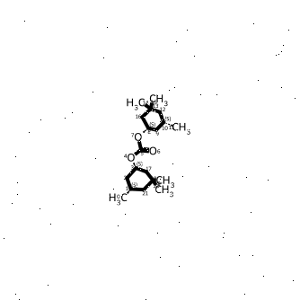 C[C@@H]1C[C@H](OC(=O)O[C@H]2C[C@@H](C)CC(C)(C)C2)CC(C)(C)C1